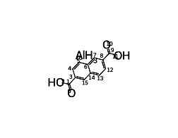 O=C(O)c1ccc2cc(C(=O)O)ccc2c1.[AlH3]